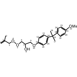 C=C(C)COOCC(O)COc1ccc(C(C)(C)c2ccc(OC)cc2)cc1